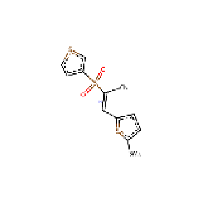 CSc1ccc(/C=C(\C#N)S(=O)(=O)c2ccsc2)s1